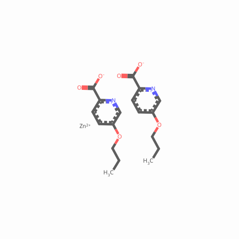 CCCOc1ccc(C(=O)[O-])nc1.CCCOc1ccc(C(=O)[O-])nc1.[Zn+2]